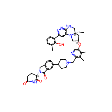 CC[C@@]12CNc3nnc(-c4cccc(C)c4O)cc3N1C[C@H](Oc1cnc(CN3CCC(c4ccc5c(c4)C(=O)N([C@H]4CCC(=O)NC4=O)C5)CC3)c(C)c1C)C2